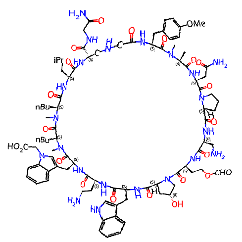 CCCC[C@H]1C(=O)N(C)[C@@H](CCCC)C(=O)N[C@@H](CC(C)C)C(=O)N[C@H](C(=O)NCC(N)=O)CNCC(=O)N[C@@H](Cc2ccc(OC)cc2)C(=O)N(C)[C@@H](C)C(=O)N[C@@H](CC(N)=O)C(=O)N2CCC[C@H]2C(=O)N[C@@H](CN)C(=O)N[C@@H](CCOC=O)C(=O)N2C[C@H](O)C[C@H]2C(=O)N[C@@H](Cc2c[nH]c3ccccc23)C(=O)N[C@@H](CCN)C(=O)N[C@@H](Cc2cn(CC(=O)O)c3ccccc23)C(=O)N1C